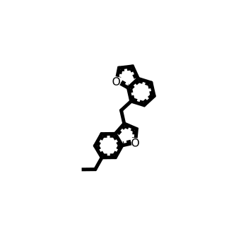 CCc1ccc2c(Cc3cccc4ccoc34)coc2c1